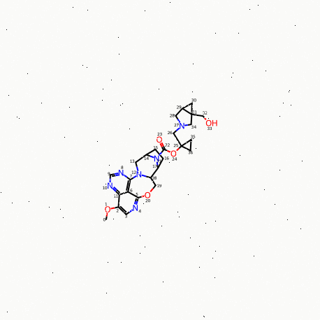 COc1cnc2c3c(ncnc13)N1CC3CCC(C1CO2)N3C(=O)OC1(CN2CC3CC3(CO)C2)CC1